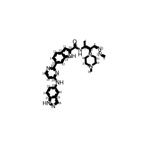 C=N/N=C\C(=C(/C)NC(=O)c1cc2ccc(-c3nccc(Nc4ccc5[nH]ncc5c4)n3)cc2[nH]1)N1CCN(C)CC1